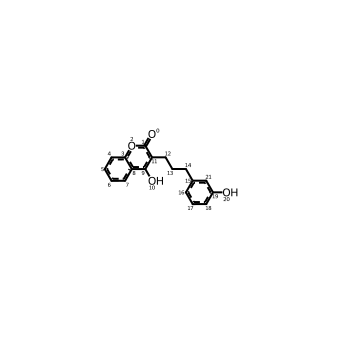 O=c1oc2ccccc2c(O)c1CCCc1cccc(O)c1